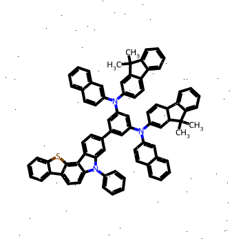 CC1(C)c2ccccc2-c2ccc(N(c3cc(-c4ccc5c6c7sc8ccccc8c7ccc6n(-c6ccccc6)c5c4)cc(N(C4=CC5C(C=C4)c4ccccc4C5(C)C)c4ccc5ccccc5c4)c3)c3ccc4ccccc4c3)cc21